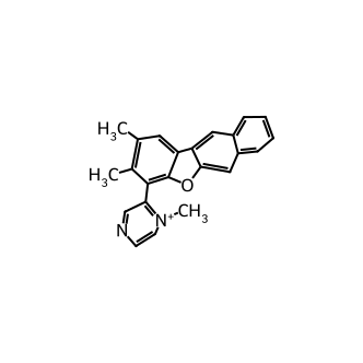 Cc1cc2c(oc3cc4ccccc4cc32)c(-c2cncc[n+]2C)c1C